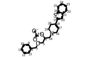 O=[N+]([O-])OC(COCc1ccccc1)CN1CC=C(c2cc3ccccc3s2)CC1